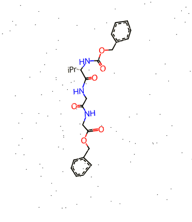 CC(C)[C@H](NC(=O)OCc1ccccc1)C(=O)NCC(=O)NCC(=O)OCc1ccccc1